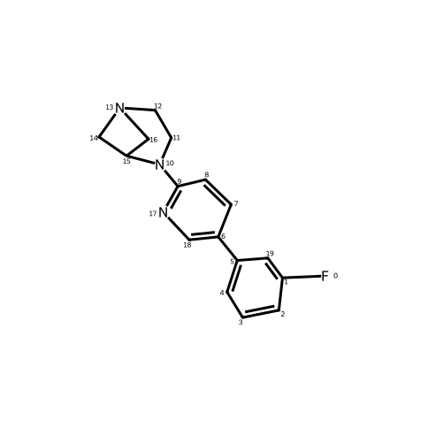 Fc1cccc(-c2ccc(N3CCN4CC3C4)nc2)c1